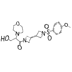 COc1ccc(S(=O)(=O)N2CC(=C3CN(C(=O)C(CO)N4CCOCC4)C3)C2)cc1